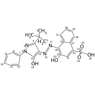 CC(C)(C)c1nn(-c2ccccc2)c(O)c1/N=N/c1c(O)cc(S(=O)(=O)O)c2ccccc12